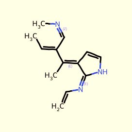 C=C/N=C1/NC=C/C1=C(/C)C(=CC)/C=N\C